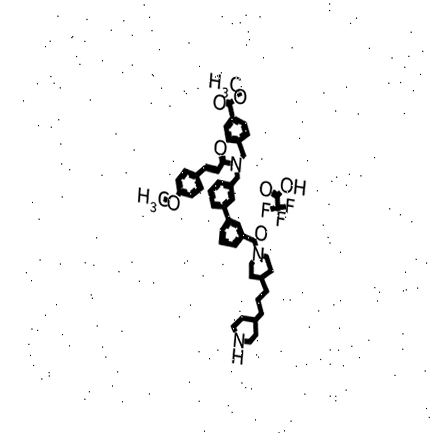 COC(=O)c1ccc(CN(Cc2cccc(-c3cccc(C(=O)N4CCC(CCCC5CCNCC5)CC4)c3)c2)C(=O)C=Cc2ccc(OC)cc2)cc1.O=C(O)C(F)(F)F